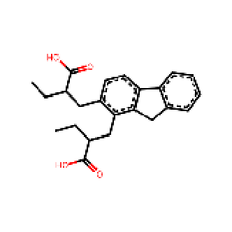 CCC(Cc1ccc2c(c1CC(CC)C(=O)O)Cc1ccccc1-2)C(=O)O